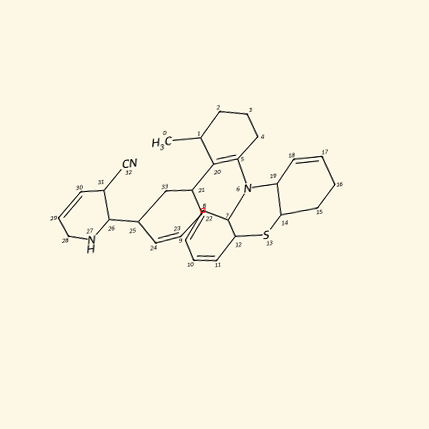 CC1CCCC(N2C3C=CC=CC3SC3CCC=CC32)=C1C1CC=CC(C2NCC=CC2C#N)C1